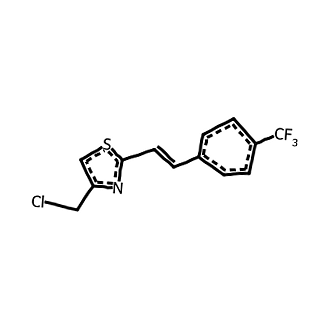 FC(F)(F)c1ccc(C=Cc2nc(CCl)cs2)cc1